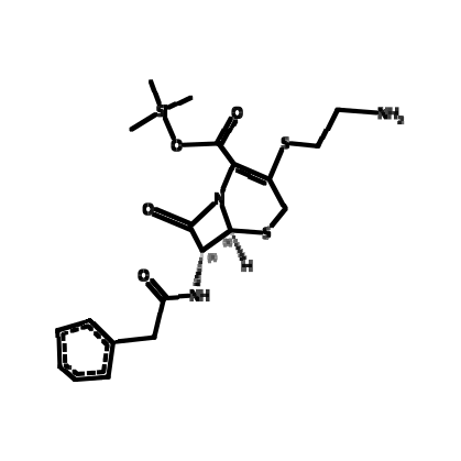 C[Si](C)(C)OC(=O)C1=C(SCCN)CS[C@H]2[C@H](NC(=O)Cc3ccccc3)C(=O)N12